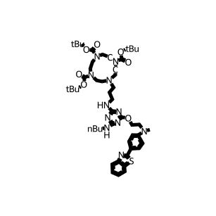 CCCCNc1nc(NCCCN2CCN(C(=O)OC(C)(C)C)CCN(C(=O)OC(C)(C)C)CCN(C(=O)OC(C)(C)C)CC2)nc(OCCN(C)c2ccc(-c3nc4ccccc4s3)cc2)n1